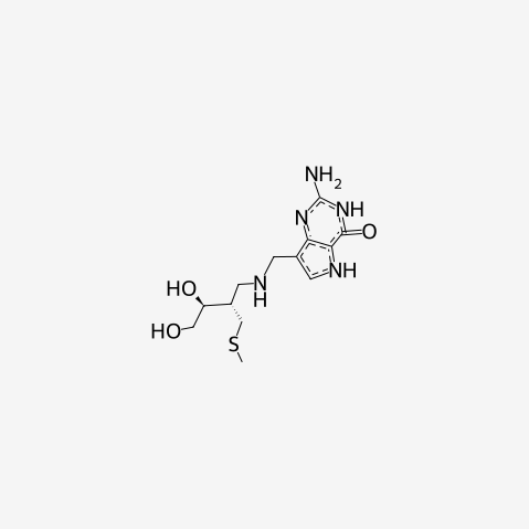 CSC[C@@H](CNCc1c[nH]c2c(=O)[nH]c(N)nc12)[C@H](O)CO